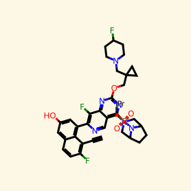 C#Cc1c(F)ccc2cc(O)cc(-c3ncc4c(N5CC6CCC(C5)N6S(=O)(=O)CC(C)C)nc(OCC5(CN6CCC(F)CC6)CC5)nc4c3F)c12